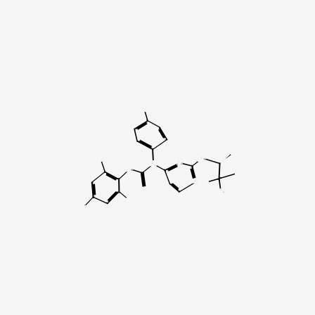 C[C@H](Nc1nccc(N(C(=O)Nc2c(Cl)cc(Cl)cc2Cl)c2ccc(F)cc2)n1)C(C)(C)O